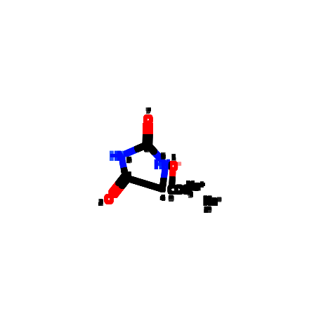 O=C([O-])[O-].O=C1CNC(=O)N1.[Na+].[Na+]